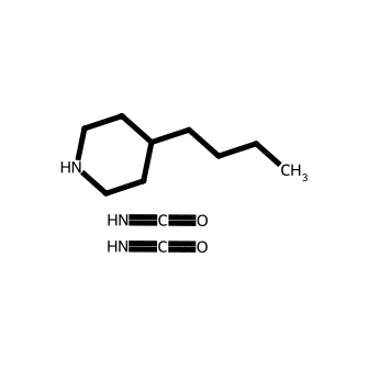 CCCCC1CCNCC1.N=C=O.N=C=O